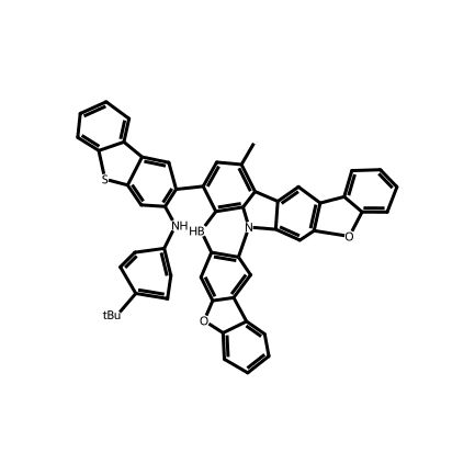 Cc1cc(-c2cc3c(cc2Nc2ccc(C(C)(C)C)cc2)sc2ccccc23)c2c3c1c1cc4c(cc1n3-c1cc3c(cc1B2)oc1ccccc13)oc1ccccc14